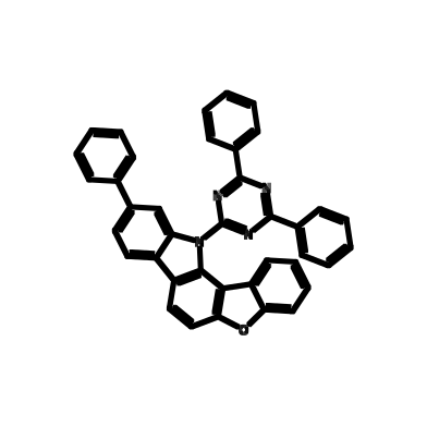 c1ccc(-c2ccc3c4ccc5oc6ccccc6c5c4n(-c4nc(-c5ccccc5)nc(-c5ccccc5)n4)c3c2)cc1